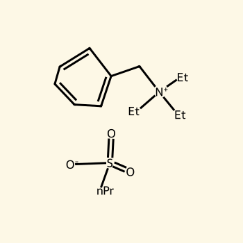 CCCS(=O)(=O)[O-].CC[N+](CC)(CC)Cc1ccccc1